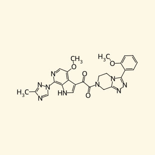 COc1ccccc1-c1nnc2n1CCN(C(=O)C(=O)c1c[nH]c3c(-n4cnc(C)n4)ncc(OC)c13)C2